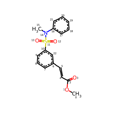 COC(=O)/C=C/c1cccc(S(=O)(=O)N(C)c2ccccc2)c1